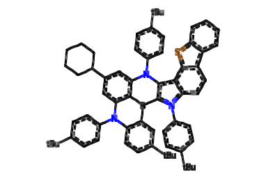 CC(C)(C)c1ccc(N2c3ccc(C(C)(C)C)cc3B3c4c2cc(C2CCCCC2)cc4N(c2ccc(C(C)(C)C)cc2)c2c3n(-c3ccc(C(C)(C)C)cc3)c3ccc4c5ccccc5sc4c23)cc1